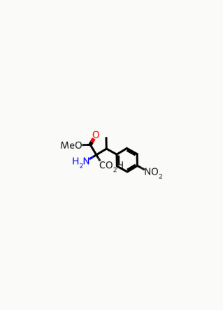 COC(=O)C(N)(C(=O)O)C(C)c1ccc([N+](=O)[O-])cc1